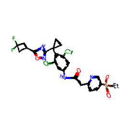 CCS(=O)(=O)c1ccc(CC(=O)Nc2cc(Cl)c(C3(c4noc(C5CC(F)(F)C5)n4)CC3)c(Cl)c2)nc1